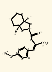 CCCOc1ccc(/C=C(\CC(=O)N2C[C@H]3CCCC[C@H]3C2)C(=O)O)cc1